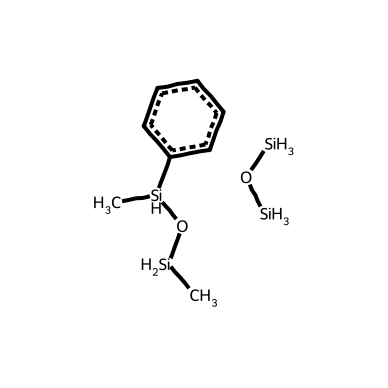 C[SiH2]O[SiH](C)c1ccccc1.[SiH3]O[SiH3]